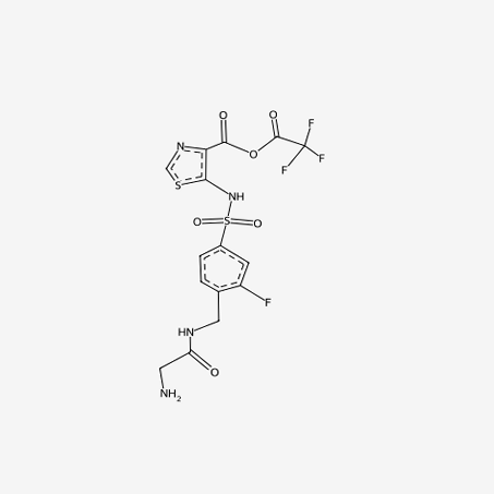 NCC(=O)NCc1ccc(S(=O)(=O)Nc2scnc2C(=O)OC(=O)C(F)(F)F)cc1F